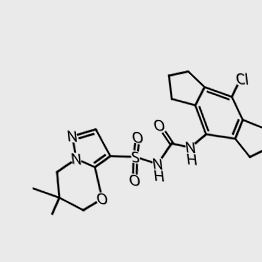 CC1(C)COc2c(S(=O)(=O)NC(=O)Nc3c4c(c(Cl)c5c3CCC5)CCC4)cnn2C1